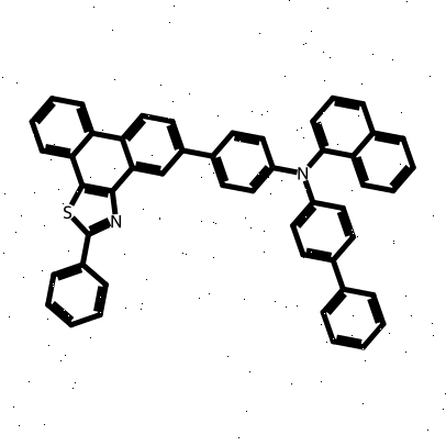 c1ccc(-c2ccc(N(c3ccc(-c4ccc5c6ccccc6c6sc(-c7ccccc7)nc6c5c4)cc3)c3cccc4ccccc34)cc2)cc1